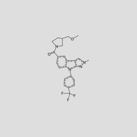 COCC1CCN(C(=O)c2ccc3c(c2)c2cn(C)nc2n3-c2ccc(C(F)(F)F)cc2)C1